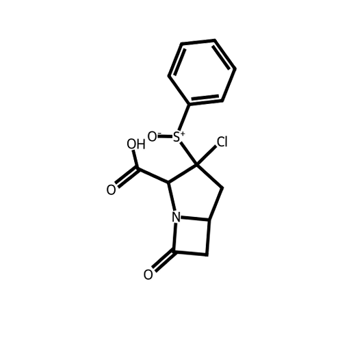 O=C(O)C1N2C(=O)CC2CC1(Cl)[S+]([O-])c1ccccc1